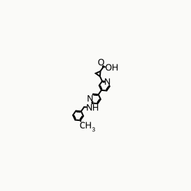 Cc1cccc(CNc2ccc(-c3ccnc(C4CC4C(=O)O)c3)cn2)c1